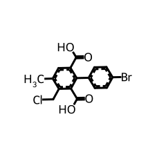 Cc1cc(C(=O)O)c(-c2ccc(Br)cc2)c(C(=O)O)c1CCl